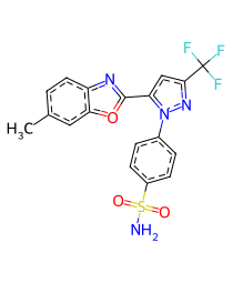 Cc1ccc2nc(-c3cc(C(F)(F)F)nn3-c3ccc(S(N)(=O)=O)cc3)oc2c1